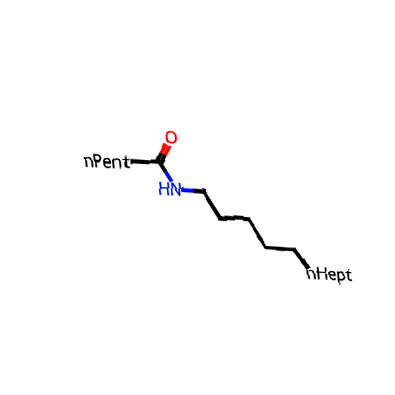 [CH2]CCCCC(=O)NCCCCCCCCCCCC